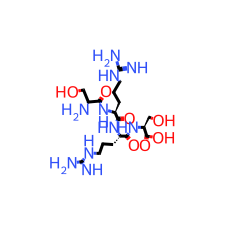 N=C(N)NCCC[C@H](NC(=O)[C@H](CCCNC(=N)N)NC(=O)[C@@H](N)CO)C(=O)N[C@@H](CO)C(=O)O